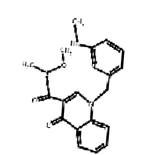 CBc1cccc(Cn2cc(C(=O)N(C)OC)c(=O)c3ccccc32)n1